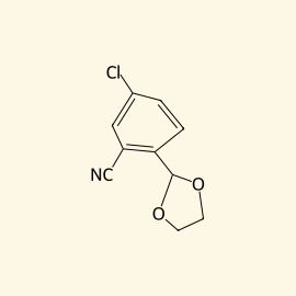 N#Cc1cc(Cl)ccc1C1OCCO1